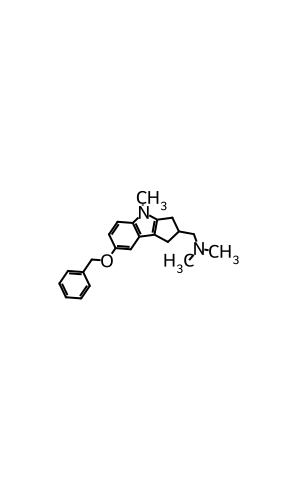 CN(C)CC1Cc2c(n(C)c3ccc(OCc4ccccc4)cc23)C1